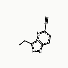 C#Cc1ccc2nnc(CC)n2n1